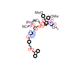 COc1ccc(C(OCC2OC(n3cc(C)c(=O)[nH]c3=O)CC2OP(OCCC#N)OCC2OC(n3cnc4c(NC(=O)c5ccc(CCC(=O)OCC6c7ccccc7-c7ccccc76)cc5)ncnc43)CC2OP(OCCC#N)N(C(C)C)C(C)C)(c2ccccc2)c2ccc(OC)cc2)cc1